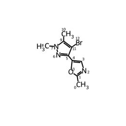 Cc1ncc(-c2nn(C)c(C)c2Br)o1